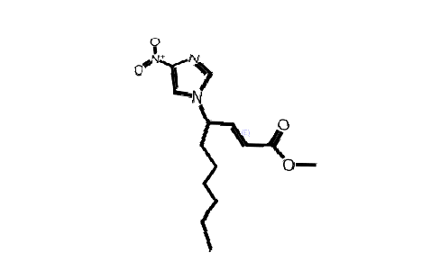 CCCCCCC(/C=C/C(=O)OC)n1cnc([N+](=O)[O-])c1